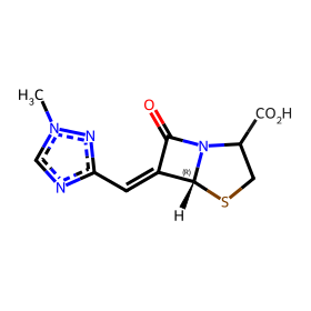 Cn1cnc(C=C2C(=O)N3C(C(=O)O)CS[C@H]23)n1